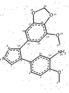 COc1ccc(-c2cnsc2-c2cc(OC)c3c(c2)OCO3)cc1N